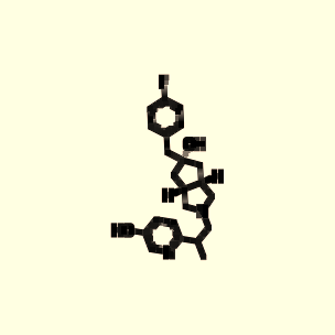 CC(CN1C[C@@H]2C[C@@](O)(Cc3ccc(F)cc3)C[C@@H]2C1)c1ccc(O)cn1